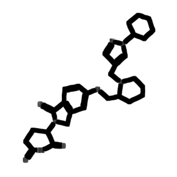 O=C1CCC(N2Cc3cc(OCC4CCCCN4Cc4cnn(C5CCCCC5)c4)ccc3C2=O)C(=O)N1